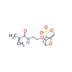 C=C(C)C(=O)NCCOC1C2CC3C(O2)C1OS3(=O)=O